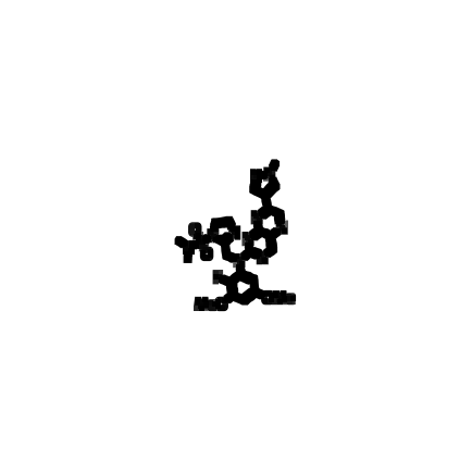 COc1cc(OC)c(F)c(N(Cc2nccn2S(=O)(=O)N(C)C)c2ncc3ncc(-c4cnn(C)c4)nc3n2)c1